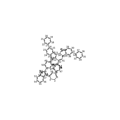 C1=CCCC(n2c(-c3ccc(-n4c5c(c6cc(-c7ccccc7)ccc64)C4Sc6ccc(-c7ccccc7)cc6C4C=C5c4ncccn4)cc3)nc3ccccc32)=C1